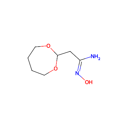 NC(CC1OCCCCO1)=NO